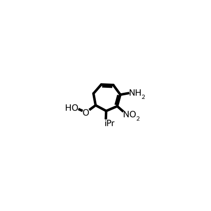 CC(C)C1C([N+](=O)[O-])=C(N)C=CCC1OO